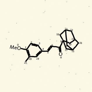 COc1ccc(C=CC(=O)C23CC4CC(CC(C4)C2)C3)cc1C